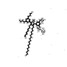 CCCCCCCCCCCCCCCCCCC1=C(c2cc(C[Si](C)(C)C)cc(C[Si](C)(C)C)c2)[N+](=[N-])C(c2cc(CCCC)cc(CCCC)c2)=C1CCCCCCCC.[CH3][Pd][CH3]